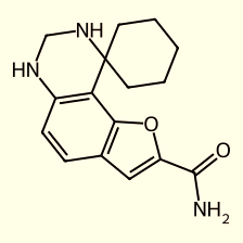 NC(=O)c1cc2ccc3c(c2o1)C1(CCCCC1)NCN3